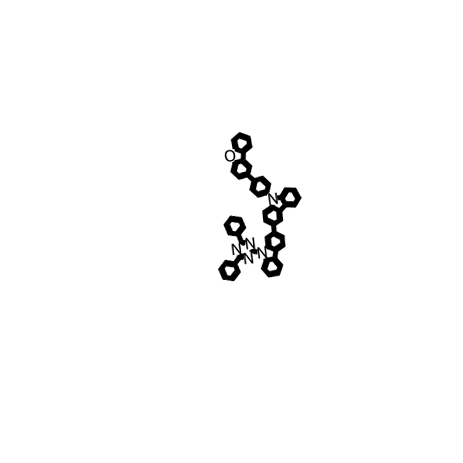 c1ccc(-c2nc(-c3ccccc3)nc(-n3c4ccccc4c4ccc(-c5ccc6c(c5)c5ccccc5n6-c5ccc(-c6ccc7oc8ccccc8c7c6)cc5)cc43)n2)cc1